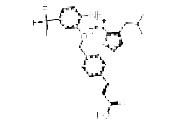 CC(C)Cc1ccsc1S(=O)(=O)Nc1ccc(C(F)(F)F)cc1OCc1ccc(/C=C/C(=O)O)cc1